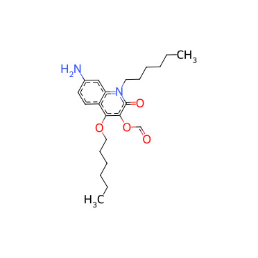 CCCCCCOc1c(OC=O)c(=O)n(CCCCCC)c2cc(N)ccc12